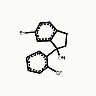 OC1(c2ccccc2C(F)(F)F)CCc2ccc(Br)cc21